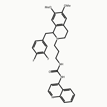 COc1cc2c(cc1OC)C(Cc1ccc(F)c(F)c1)N(CCCNC(=O)Nc1ccnc3ccccc13)CC2